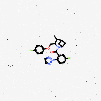 CC1C2CC(C2)N(C(=O)c2cc(F)ccc2-n2nccn2)C1COc1ccc(F)cc1